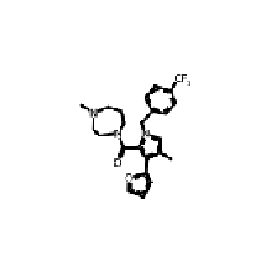 Cc1cn(Cc2ccc(C(F)(F)F)cc2)c(C(=O)N2CCCN(C)CC2)c1-c1ccco1